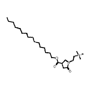 CCCCCCCCCCCCCCCCOC(=O)C1CC(=O)N(CC[N+](C)(C)C)C1